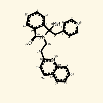 NC1(Cc2ccncc2)c2ccccc2C(=O)N1CCc1ccc2ccccc2n1